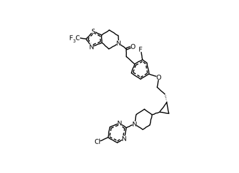 O=C(Cc1ccc(OCC[C@@H]2CC2C2CCN(c3ncc(Cl)cn3)CC2)cc1F)N1CCc2sc(C(F)(F)F)nc2C1